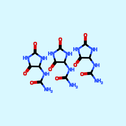 NC(=O)NC1NC(=O)NC1=O.NC(=O)NC1NC(=O)NC1=O.NC(=O)NC1NC(=O)NC1=O